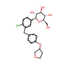 OC[C@H]1O[C@@H](c2ccc(Cl)c(Cc3ccc(OC4CCOC4)cc3)c2)[C@H](O)[C@@H](O)[C@@H]1O